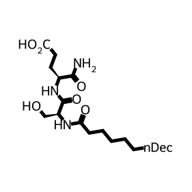 CCCCCCCCCCCCCCCC(=O)N[C@@H](CO)C(=O)N[C@@H](CCC(=O)O)C(N)=O